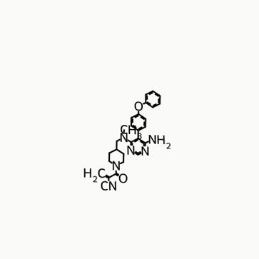 C=C(C#N)C(=O)N1CCC(CN(C)c2ncnc(N)c2-c2ccc(Oc3ccccc3)cc2)CC1